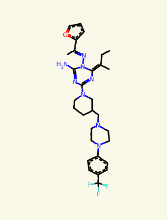 CC/C(C)=C1/N=C(N2CCCC(CN3CCN(c4ccc(C(F)(F)F)cc4)CC3)C2)N=C(N)N1/N=C(\C)c1ccco1